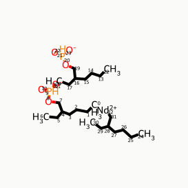 CCCCC(CC)CO[PH](=O)[O-].CCCCC(CC)CO[PH](=O)[O-].CCCCC(CC)[CH2][Nd+2]